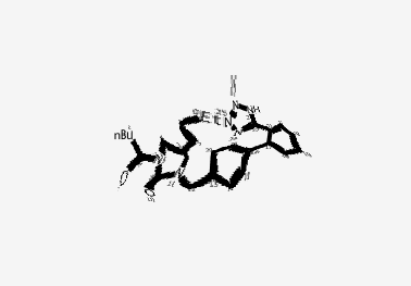 CCC=Cc1cn(C(=O)CCCC)c(=O)n1Cc1ccc(-c2ccccc2-c2nnn[nH]2)cc1